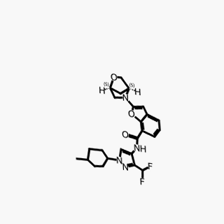 CC1CCC(n2cc(NC(=O)c3cccc4cc(N5C[C@@H]6C[C@H]5CO6)oc34)c(C(F)F)n2)CC1